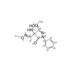 CO/N=C(\C)C1(NO)C(=O)N(c2ccccc2)N=C1OC